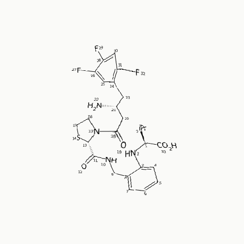 CC(C)[C@H](Nc1ccccc1CNC(=O)[C@@H]1SCCN1C(=O)C[C@H](N)Cc1cc(F)c(F)cc1F)C(=O)O